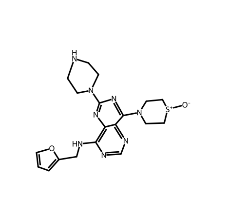 [O-][S+]1CCN(c2nc(N3CCNCC3)nc3c(NCc4ccco4)ncnc23)CC1